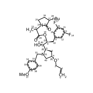 C=CCO[C@@H]1C[C@H]([C@@H](O)[C@H](Cc2cc(F)cc(F)c2)OC(=O)C(C)N2CCC(CCCC)C2=O)N(Cc2ccc(OC)cc2)C1